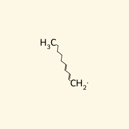 [CH2]/C=C/C=C/CCCCC